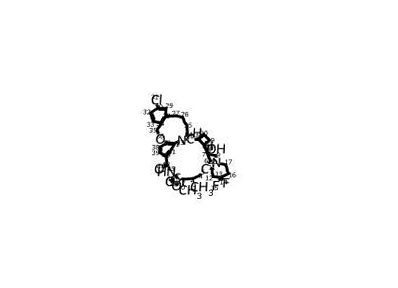 C[C@@H]1[C@@H](C)CCC[C@](O)(CN2CCC(F)(F)CC2)[C@@H]2CC[C@H]2CN2CCCCc3cc(Cl)ccc3COc3ccc(cc32)C(=O)NS1(=O)=O